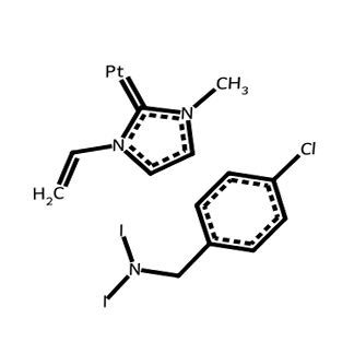 C=Cn1ccn(C)[c]1=[Pt].Clc1ccc(CN(I)I)cc1